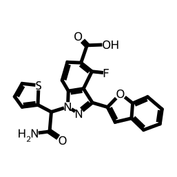 NC(=O)C(c1cccs1)n1nc(-c2cc3ccccc3o2)c2c(F)c(C(=O)O)ccc21